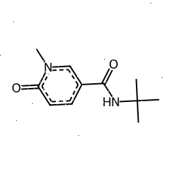 Cn1cc(C(=O)NC(C)(C)C)ccc1=O